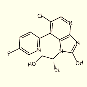 CC[C@H](CO)n1c(O)nc2ncc(Cl)c(-c3ccc(F)cn3)c21